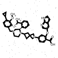 COc1cc(CN2CCN(C3CC4(C3)CN(c3ccc(C(=O)O)c(Oc5cnc6[nH]ccc6c5)c3)C4)[C@H](c3ccccc3C(C)C)C2)ccc1C1CC1